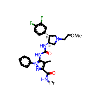 COCCN1C[C@@H](NC(=O)Nc2c(C)c(C(=O)NC(C)C)nn2-c2ccccc2)[C@H](c2ccc(F)c(F)c2)C1